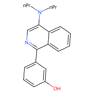 CCCN(CCC)c1cnc(-c2cccc(O)c2)c2ccccc12